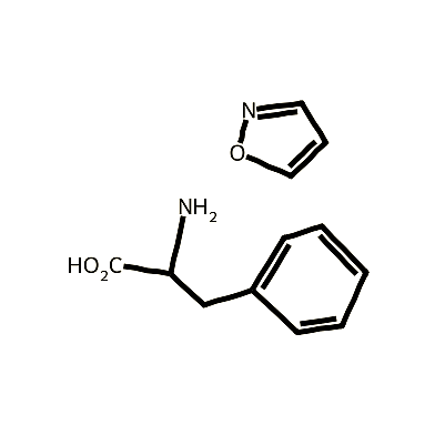 NC(Cc1ccccc1)C(=O)O.c1cnoc1